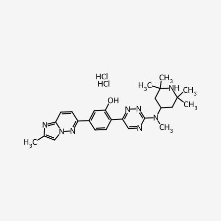 Cc1cn2nc(-c3ccc(-c4cnc(N(C)C5CC(C)(C)NC(C)(C)C5)nn4)c(O)c3)ccc2n1.Cl.Cl